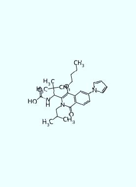 CCCCOc1c(C(NC(=O)O)C(C)(C)C)n(CC(C)C)c(=O)c2ccc(-n3cccc3)cc12